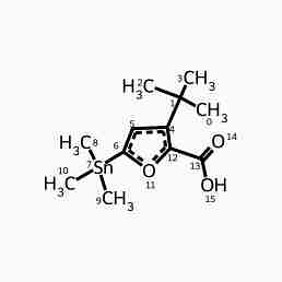 CC(C)(C)c1c[c]([Sn]([CH3])([CH3])[CH3])oc1C(=O)O